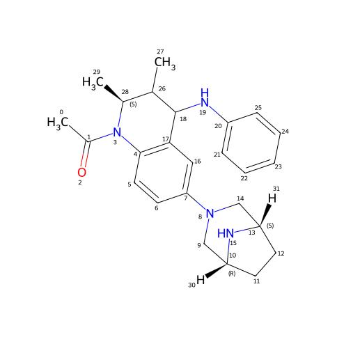 CC(=O)N1c2ccc(N3C[C@H]4CC[C@@H](C3)N4)cc2C(Nc2ccccc2)C(C)[C@@H]1C